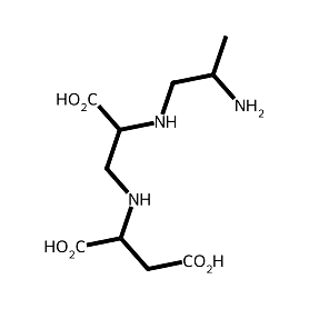 CC(N)CNC(CNC(CC(=O)O)C(=O)O)C(=O)O